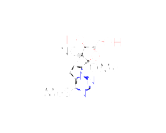 CO[C@@]1(c2ccc3c(SC)ncnn23)O[C@H](CO)[C@@H](O)[C@@]1(C)C#N